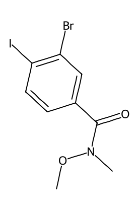 CON(C)C(=O)c1ccc(I)c(Br)c1